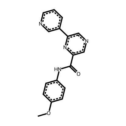 COc1ccc(NC(=O)c2cncc(-c3cccnc3)n2)cc1